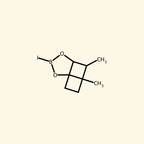 CC1C2OB(I)OC23CCC13C